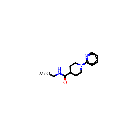 COCNC(=O)C1CCN(c2ccccn2)CC1